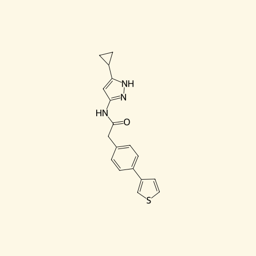 O=C(Cc1ccc(-c2ccsc2)cc1)Nc1cc(C2CC2)[nH]n1